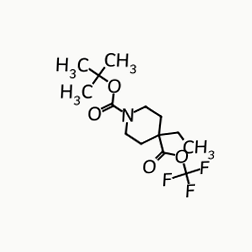 CCC1(C(=O)OC(F)(F)F)CCN(C(=O)OC(C)(C)C)CC1